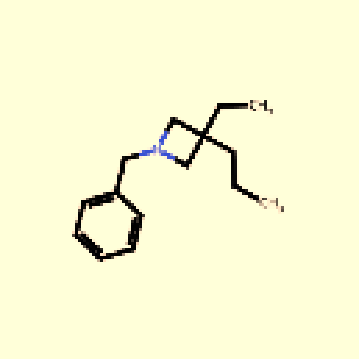 CCCC1(CC)CN(Cc2ccccc2)C1